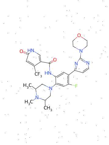 CC1CN(c2cc(F)c(-c3ccnc(N4CCOCC4)n3)cc2NC(=O)c2c[nH]c(=O)cc2C(F)(F)F)CC(C)N1C